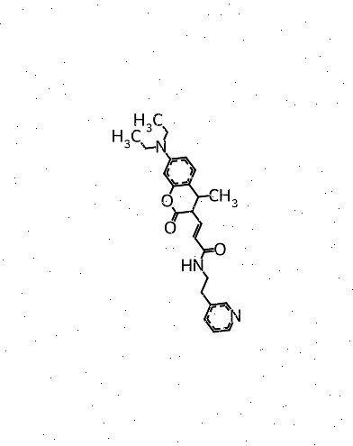 CCN(CC)c1ccc2c(c1)OC(=O)C(C=CC(=O)NCCc1cccnc1)C2C